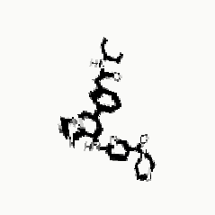 CCC(CC)NC(=O)Cc1cccc(-c2cc(Nc3ccc(C(=O)N4CCOCC4)cn3)c3nccn3c2)c1